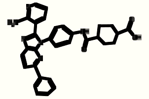 Nc1ncccc1-c1nc2ccc(-c3ccccc3)nc2n1-c1ccc(NC(=O)C2CCC(C(=O)O)CC2)cc1